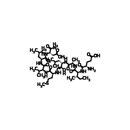 CC[C@H](C)[C@H](NC(=O)[C@@H](N)CCC(=O)O)C(=O)N[C@@H](C)C(=O)N[C@@H](CC(C)C)[C@@H](O)CN[C@@H](CCSC)C(=O)N[C@H](C(=O)N[C@@H](CC(C)C)C(=O)N[C@@H](CC(=O)O)C(N)=O)C(C)C